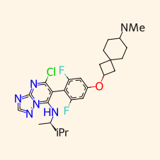 CNC1CCC2(CC1)CC(Oc1cc(F)c(-c3c(Cl)nc4ncnn4c3N[C@H](C)C(C)C)c(F)c1)C2